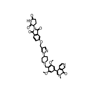 COc1cc(-c2cn(C)c(=O)c3cnccc23)cc(OC)c1CN1CCC(n2cc(COc3ccc4c(c3)C(=O)N(C3CCC(=O)NC3=O)C4=O)cn2)CC1